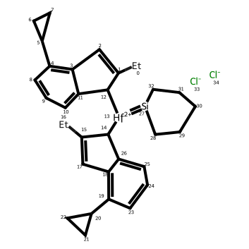 CCC1=Cc2c(C3CC3)cccc2[CH]1[Hf+2]([CH]1C(CC)=Cc2c(C3CC3)cccc21)=[Si]1CCCCC1.[Cl-].[Cl-]